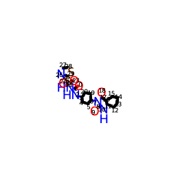 O=C(Nc1ccc(-n2c(=O)[nH]c3ccccc3c2=O)cc1)NS(=O)(=O)c1nccs1